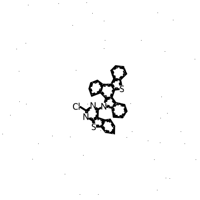 Clc1nc(-n2c3ccccc3c3c4sc5ccccc5c4c4ccccc4c32)c2c(n1)sc1ccccc12